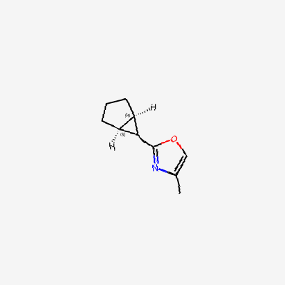 Cc1coc(C2[C@H]3CCC[C@@H]23)n1